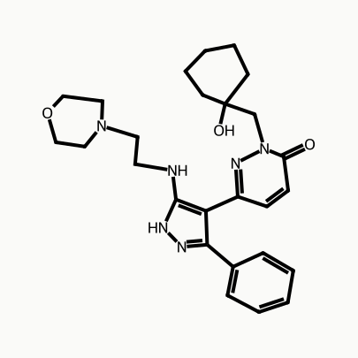 O=c1ccc(-c2c(-c3ccccc3)n[nH]c2NCCN2CCOCC2)nn1CC1(O)CCCCC1